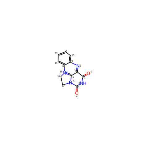 O=c1[nH]c(=O)n2c3c1nc1ccccc1[n+]3CC2